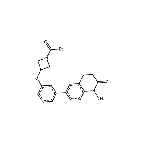 CCC(=O)N1CC(Oc2cncc(-c3ccc4c(c3)CCC(=O)N4C)c2)C1